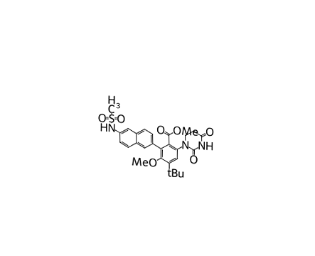 COC(=O)c1c(N2CCC(=O)NC2=O)cc(C(C)(C)C)c(OC)c1-c1ccc2cc(NS(C)(=O)=O)ccc2c1